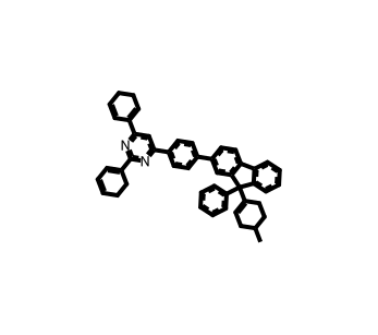 CC1CC=C(C2(c3ccccc3)c3ccccc3-c3ccc(-c4ccc(-c5cc(C6=CCCC=C6)nc(C6=CC=CCC6)n5)cc4)cc32)CC1